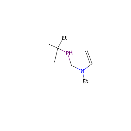 C=CN(CC)CPC(C)(C)CC